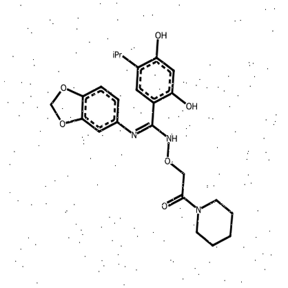 CC(C)c1cc(/C(=N\c2ccc3c(c2)OCO3)NOCC(=O)N2CCCCC2)c(O)cc1O